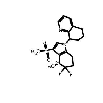 CS(=O)(=O)c1cn(C2CCCc3cccnc32)c2c1[C@H](O)C(F)(F)CC2